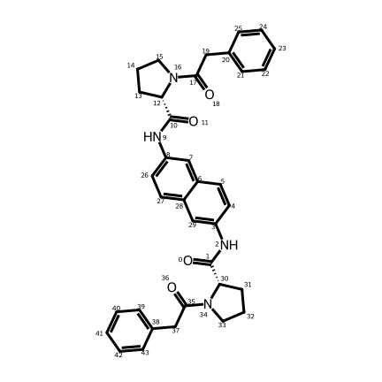 O=C(Nc1ccc2cc(NC(=O)[C@@H]3CCCN3C(=O)Cc3ccccc3)ccc2c1)[C@@H]1CCCN1C(=O)Cc1ccccc1